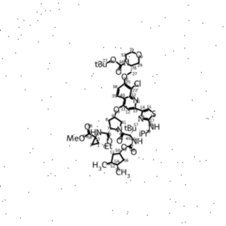 CC[C@@H]1C[C@]1(NC(=O)[C@@H]1C[C@@H](Oc2cc(-c3csc(NC(C)C)n3)nc3c(Cl)c(OC[C@H]4COCCN4C(=O)OC(C)(C)C)ccc23)CN1C(=O)[C@@H](NC(=O)O[C@@H]1CC(C)[C@H](C)C1)C(C)(C)C)C(=O)OC